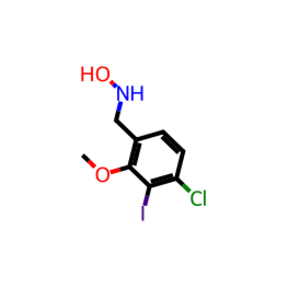 COc1c(CNO)ccc(Cl)c1I